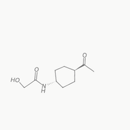 CC(=O)[C@H]1CC[C@H](NC(=O)CO)CC1